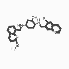 COc1ccc2cccc(CN[C@H]3CC[C@H](NCc4cc5ncccc5cc4F)[C@H](O)C3)c2n1